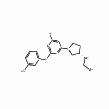 CCCc1cc(N2CC[C@H](NCC(C)CC)C2)nc(Nc2cccc(C#N)c2)n1